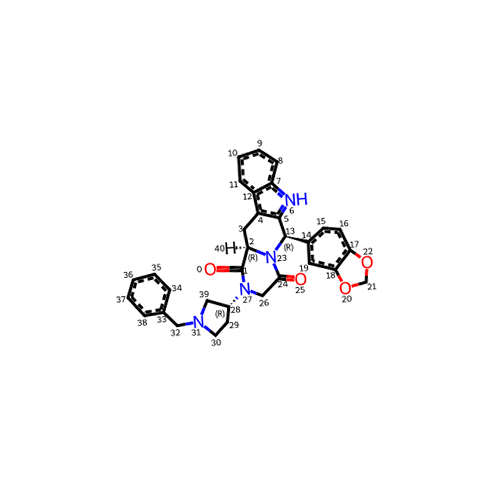 O=C1[C@H]2Cc3c([nH]c4ccccc34)[C@@H](c3ccc4c(c3)OCO4)N2C(=O)CN1[C@@H]1CCN(Cc2ccccc2)C1